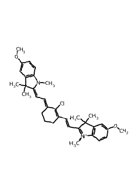 COc1ccc2c(c1)C(C)(C)C(=CC=C1CCCC(C=CC3=[N+](C)c4ccc(OC)cc4C3(C)C)=C1Cl)N2C